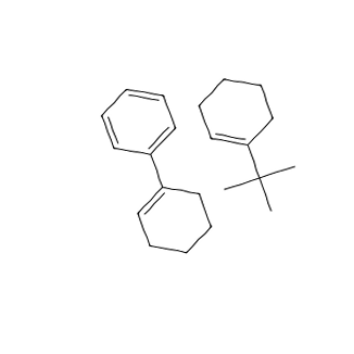 C1=C(c2ccccc2)CCCC1.CC(C)(C)C1=CCCCC1